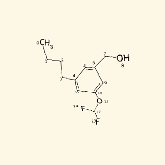 CCCCc1cc(CO)cc(OC(F)F)c1